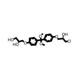 COC(OC)(c1ccc(OC[C@@H](O)CO)cc1)c1ccc(OC[C@@H](O)CCl)cc1